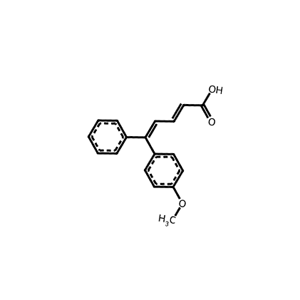 COc1ccc(/C(=C\C=C\C(=O)O)c2ccccc2)cc1